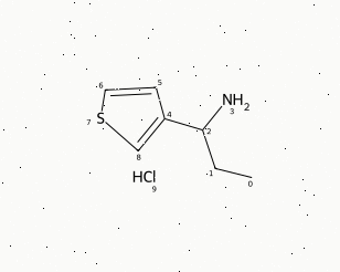 CCC(N)c1ccsc1.Cl